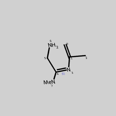 C=C(C)/N=C(\CN)NC